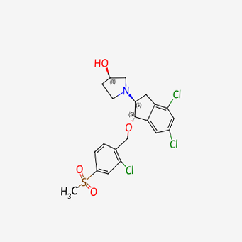 CS(=O)(=O)c1ccc(CO[C@H]2c3cc(Cl)cc(Cl)c3C[C@@H]2N2CC[C@@H](O)C2)c(Cl)c1